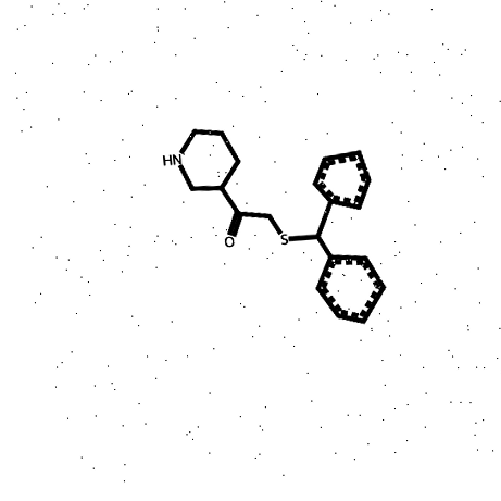 O=C(CSC(c1ccccc1)c1ccccc1)C1CCCNC1